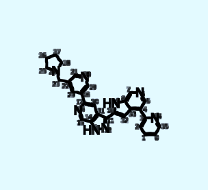 c1ccc(-c2cncc3[nH]c(-c4n[nH]c5cnc(-c6cncc(CN7CCCC7)c6)cc45)cc23)nc1